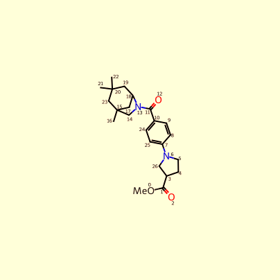 COC(=O)C1CCN(c2ccc(C(=O)N3CC4(C)CC3CC(C)(C)C4)cc2)C1